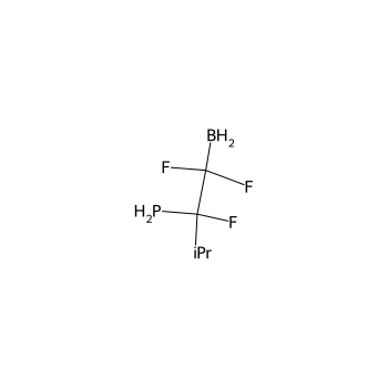 BC(F)(F)C(F)(P)C(C)C